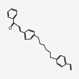 C=Cc1ccc(CCCCCCc2ccc(C=CC(=O)c3ccccc3)cc2)cc1